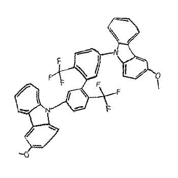 COc1ccc2c(c1)c1ccccc1n2-c1ccc(C(F)(F)F)c(-c2cc(-n3c4ccccc4c4cc(OC)ccc43)ccc2C(F)(F)F)c1